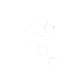 COc1ncc(C2=CCNCC2)cc1C(C)C(O)(CCN(C)C)c1cccc2ccccc12